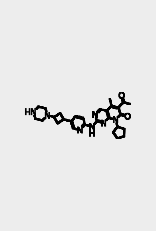 CC(=O)c1c(C)c2cnc(Nc3ccc(C4CC(N5CCNCC5)C4)cn3)nc2n(C2CCCC2)c1=O